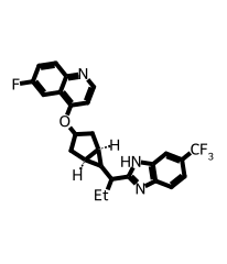 CCC(c1nc2ccc(C(F)(F)F)cc2[nH]1)C1[C@H]2CC(Oc3ccnc4ccc(F)cc34)C[C@@H]12